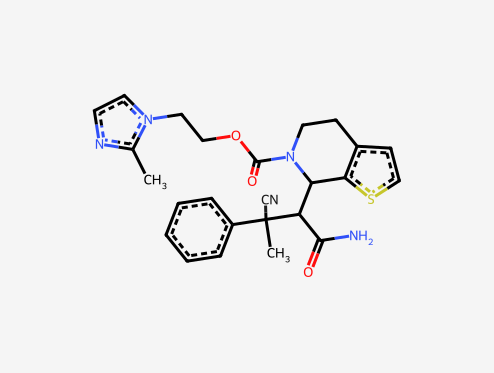 Cc1nccn1CCOC(=O)N1CCc2ccsc2C1C(C(N)=O)C(C)(C#N)c1ccccc1